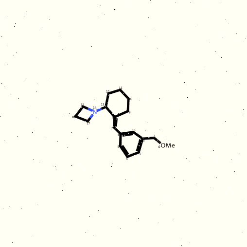 COCc1cccc(C=C2CCCCC2N2CCC2)c1